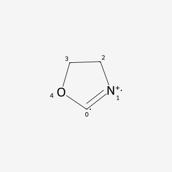 [C]1=[N+]CCO1